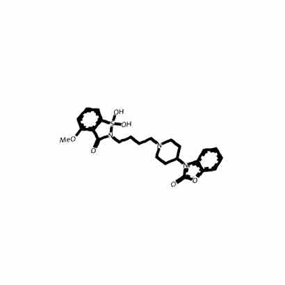 COc1cccc2c1C(=O)N(CCCCN1CCC(n3c(=O)oc4ccccc43)CC1)S2(O)O